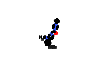 COc1ccc2c(c1)c1c(n2C)CN(CC(=O)N2CCN(C3CCC3)CC2)CC1